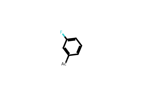 CC(=O)c1[c]c(F)ccc1